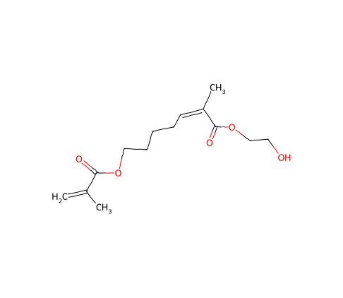 C=C(C)C(=O)OCCCCC=C(C)C(=O)OCCO